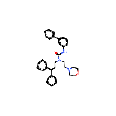 O=C(Nc1cccc(-c2ccccc2)c1)N(CCC(c1ccccc1)c1ccccc1)CCN1CCOCC1